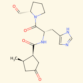 C[C@@H]1CC(=O)C[C@@H]1C(=O)N[C@@H](Cc1cnc[nH]1)C(=O)N1CCC[C@H]1C=O